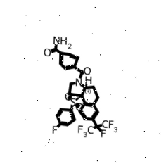 NC(=O)c1ccc(C(=O)N2CC[C@@]3(S(=O)(=O)c4ccc(F)cc4)c4ccc(C(F)(C(F)(F)F)C(F)(F)F)cc4CC[C@@H]23)cc1